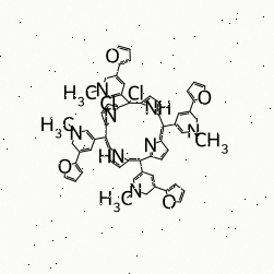 CN1C=C(C2=C3C=CC(=N3)C(C3=CN(C)CC(c4ccco4)=C3)=c3ccc([nH]3)=C(C3=CN(C)CC(c4ccco4)=C3)C3=NC(Cl)(C=C3)C(Cl)(C3=CN(C)CC(c4ccco4)=C3)c3ccc2[nH]3)C=C(c2ccco2)C1